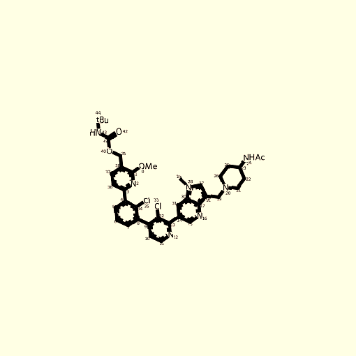 COc1nc(-c2cccc(-c3ccnc(-c4cnc5c(CN6CCC(NC(C)=O)CC6)cn(C)c5c4)c3Cl)c2Cl)ccc1COC(=O)NC(C)(C)C